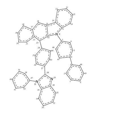 c1ccc(-c2ccc(-n3c4ccccc4c4cc5ccccc5c(-c5ccc(-c6nc7ccccc7n6-c6ccccc6)cc5)c43)cc2)cc1